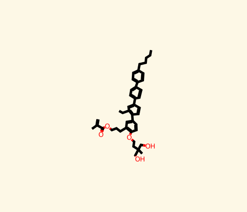 C=C(C)C(=O)OCCCc1cc(-c2ccc(-c3ccc(-c4ccc(CCCCC)cc4)cc3)cc2CC)ccc1OCCC(C)(CO)CO